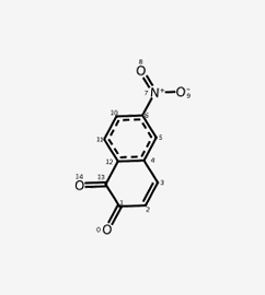 O=C1C=Cc2cc([N+](=O)[O-])ccc2C1=O